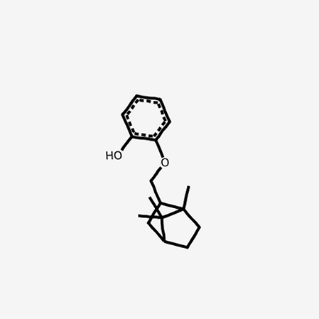 CC1(C)C2CCC1(C)C(COc1ccccc1O)C2